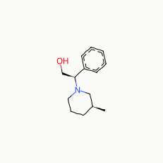 C[C@H]1CCCN([C@@H](CO)c2ccccc2)C1